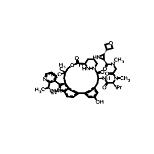 CCn1c(-c2cccnc2[C@H](C)OC)c2c3cc(ccc31)-c1cc(O)cc(c1)C[C@H](NC(=O)[C@H](C(C)C)N(C)C(=O)CN(C)C(=O)[C@H]1N[C@@H]1C1COC1)C(=O)N1CCC[C@H](N1)C(=O)OCC(C)(C)C2